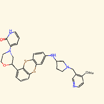 COc1ccncc1CN1CCC(Nc2ccc3c(c2)Sc2cccc(C4CN(c5ccc[nH]c5=O)CCO4)c2S3)C1